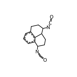 O=C=NC1CCC2c3c(cccc31)CCC2N=C=O